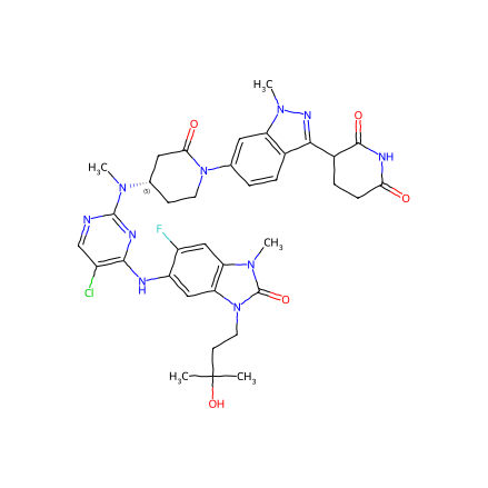 CN(c1ncc(Cl)c(Nc2cc3c(cc2F)n(C)c(=O)n3CCC(C)(C)O)n1)[C@H]1CCN(c2ccc3c(C4CCC(=O)NC4=O)nn(C)c3c2)C(=O)C1